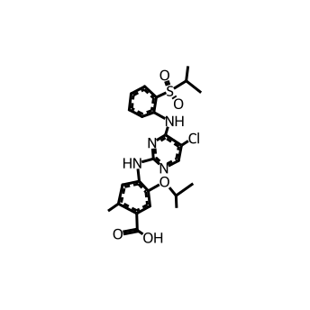 Cc1cc(Nc2ncc(Cl)c(Nc3ccccc3S(=O)(=O)C(C)C)n2)c(OC(C)C)cc1C(=O)O